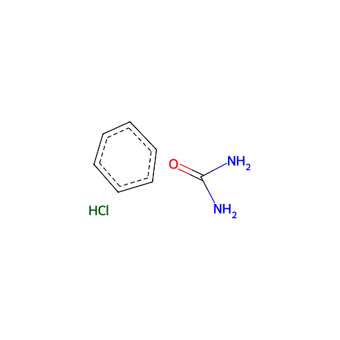 Cl.NC(N)=O.c1ccccc1